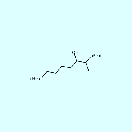 CCCCCCCCCCCC(O)C(C)CCCCC